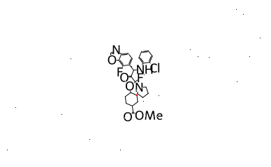 COC(=O)C1CCC(OC(F)(C(=O)C(Nc2ccccc2Cl)c2ccc3ncoc3c2F)N2CCCC2)CC1